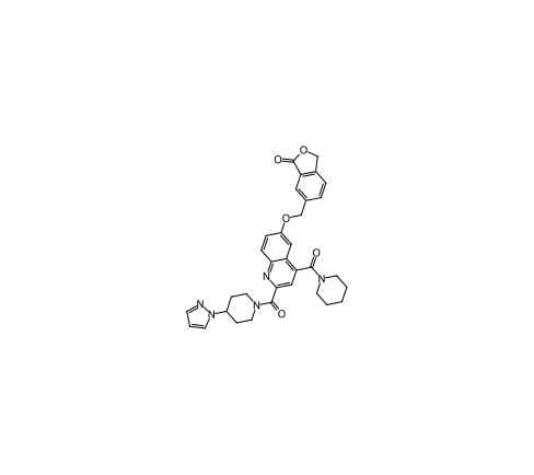 O=C1OCc2ccc(COc3ccc4nc(C(=O)N5CCC(n6cccn6)CC5)cc(C(=O)N5CCCCC5)c4c3)cc21